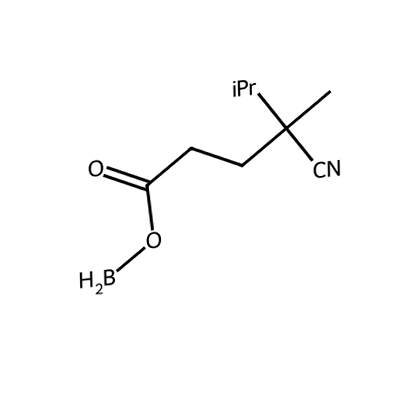 BOC(=O)CCC(C)(C#N)C(C)C